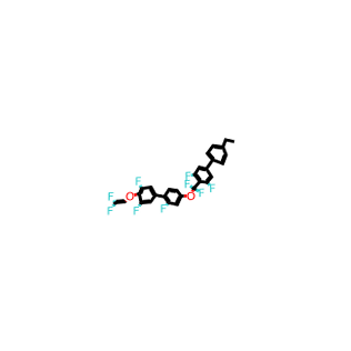 CCc1ccc(-c2cc(F)c(C(F)(F)Oc3ccc(-c4cc(F)c(OC=C(F)F)c(F)c4)c(F)c3)c(F)c2)cc1